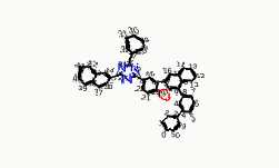 c1ccc(-c2cccc(-c3c4ccccc4cc4c3oc3ccc(-c5nc(-c6ccccc6)nc(-c6ccc7ccccc7c6)n5)cc34)c2)cc1